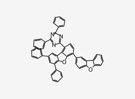 c1ccc(-c2cc(-c3ccccc3)c3oc4c(-c5ccc6oc7ccccc7c6c5)ccc(-c5nc(-c6ccccc6)nc(-c6ccccc6)n5)c4c3c2)cc1